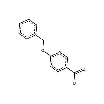 CCC(=O)c1ccc(OCc2ccccc2)nc1